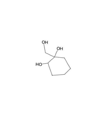 OCC1(O)CCCCC1O